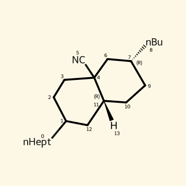 CCCCCCCC1CCC2(C#N)C[C@H](CCCC)CC[C@@H]2C1